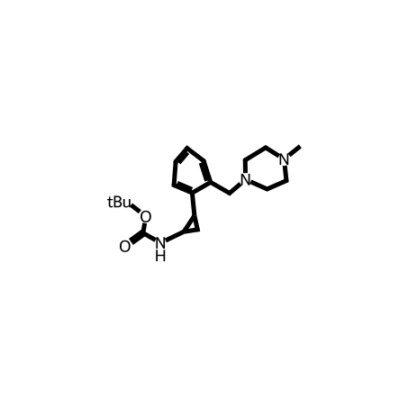 CN1CCN(Cc2ccccc2C2CC2NC(=O)OC(C)(C)C)CC1